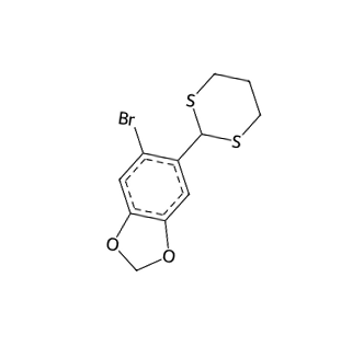 Brc1cc2c(cc1C1SCCCS1)OCO2